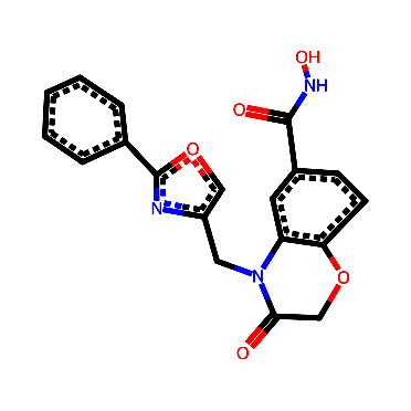 O=C(NO)c1ccc2c(c1)N(Cc1coc(-c3ccccc3)n1)C(=O)CO2